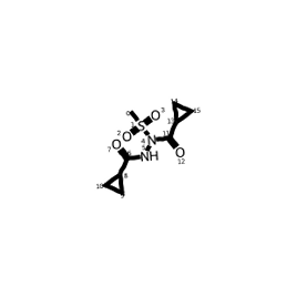 CS(=O)(=O)N(NC(=O)C1CC1)C(=O)C1CC1